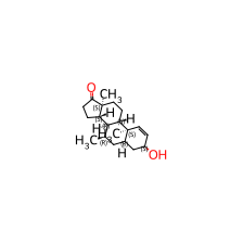 C[C@@H]1C[C@@H]2C[C@H](O)C=C[C@]2(C)[C@H]2CC[C@]3(C)C(=O)CC[C@H]3[C@H]12